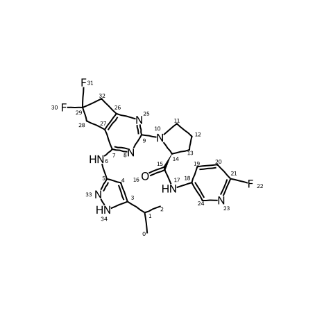 CC(C)c1cc(Nc2nc(N3CCC[C@H]3C(=O)Nc3ccc(F)nc3)nc3c2CC(F)(F)C3)n[nH]1